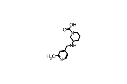 Cc1cc(CNC2CCCN(C(=O)O)C2)ccn1